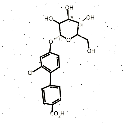 O=C(O)c1ccc(-c2ccc(O[C@H]3OC(CO)[C@@H](O)[C@H](O)C3O)cc2Cl)cc1